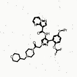 CC(C)Sc1ccc(OC(F)F)c(-c2nn(CC(=O)N3CCN(CC4CCOCC4)CC3)cc2NC(=O)c2cnn3cccnc23)c1